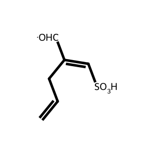 C=CCC([C]=O)=CS(=O)(=O)O